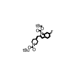 CC(C)(C)OC(=O)N1CCC(=Cc2cc3ccc(F)cc3n2C(=O)OC(C)(C)C)CC1